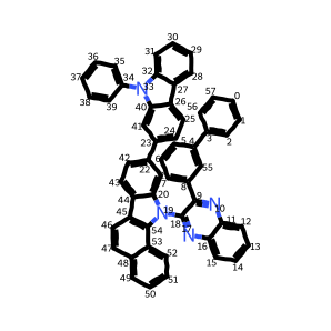 c1ccc(-c2cccc(-c3nc4ccccc4nc3-n3c4cc(-c5ccc6c7ccccc7n(-c7ccccc7)c6c5)ccc4c4ccc5ccccc5c43)c2)cc1